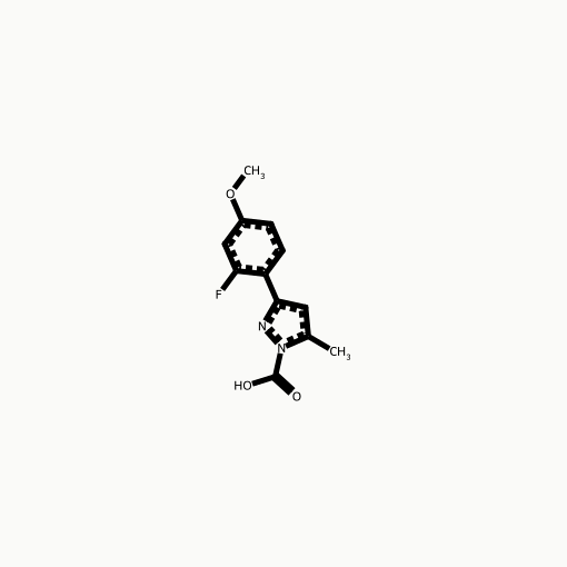 COc1ccc(-c2cc(C)n(C(=O)O)n2)c(F)c1